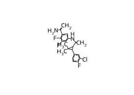 C=C(N)c1cc(NC(=C)C2C(c3ccc(F)c(Cl)c3)C2(C)C)cc(F)c1F